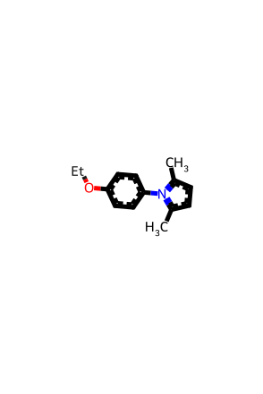 CCOc1ccc(-n2c(C)ccc2C)cc1